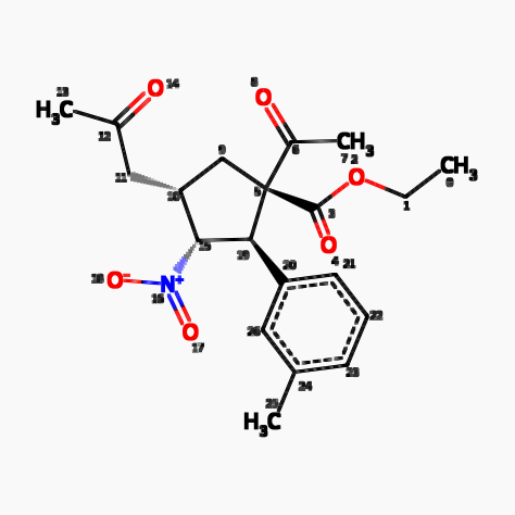 CCOC(=O)[C@]1(C(C)=O)C[C@@H](CC(C)=O)[C@@H]([N+](=O)[O-])[C@@H]1c1cccc(C)c1